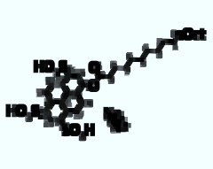 CCCCCCCCC=CCCCCCCCC(=O)Oc1cc(S(=O)(=O)O)c2ccc3c(S(=O)(=O)O)cc(S(=O)(=O)O)c4ccc1c2c43.[Na].[Na].[Na]